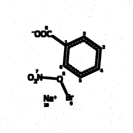 O=C([O-])c1ccccc1.O=[N+]([O-])OBr.[Na+]